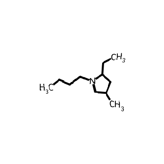 CCCCN1CC(C)CC1CC